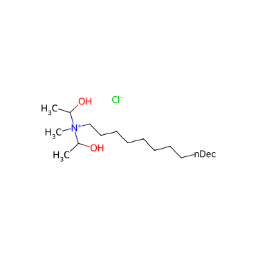 CCCCCCCCCCCCCCCCCC[N+](C)(C(C)O)C(C)O.[Cl-]